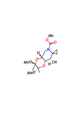 CO[C@@]1(C)O[C@@H]2[C@@H](C#N)C3(CC3)N(C(=O)OC(C)(C)C)C[C@H]2O[C@]1(C)OC